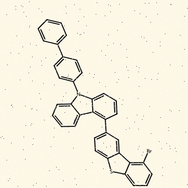 Brc1cccc2sc3ccc(-c4cccc5c4c4ccccc4n5-c4ccc(-c5ccccc5)cc4)cc3c12